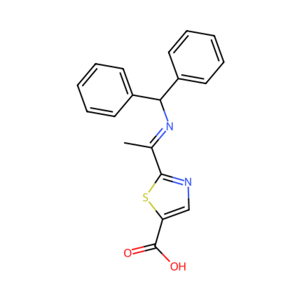 CC(=NC(c1ccccc1)c1ccccc1)c1ncc(C(=O)O)s1